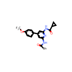 CC(C)C(=O)Nc1cc(-c2ccc(OC(F)(F)F)cc2)cc(NC(=O)C2CC2)n1